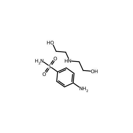 Nc1ccc(S(N)(=O)=O)cc1.OCCNCCO